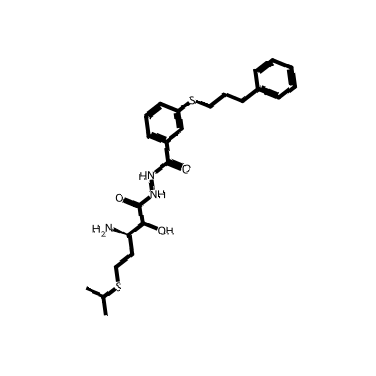 CC(C)SCC[C@@H](N)C(O)C(=O)NNC(=O)c1cccc(SCCCc2ccccc2)c1